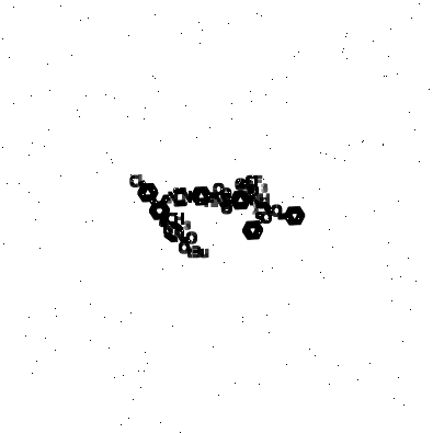 CC1(CN2CCN(C(=O)OC(C)(C)C)CC2)CCC(c2ccc(Cl)cc2)=C(CN2CCN(c3ccc(C(=O)NS(=O)(=O)c4ccc(N[C@@H](CSc5ccccc5)CC(=O)OCc5ccccc5)c(S(=O)(=O)C(F)(F)F)c4)cc3)CC2)C1